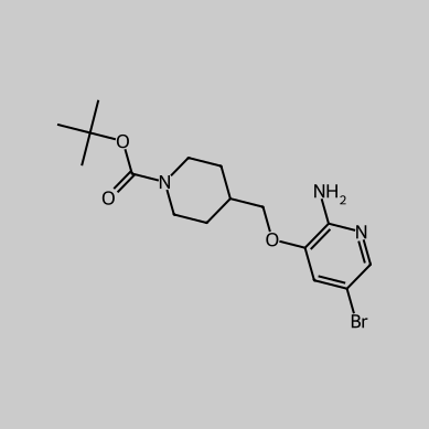 CC(C)(C)OC(=O)N1CCC(COc2cc(Br)cnc2N)CC1